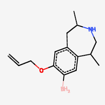 Bc1cc2c(cc1OCC=C)CC(C)NCC2C